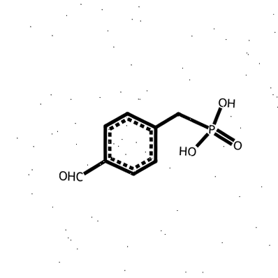 O=Cc1ccc(CP(=O)(O)O)cc1